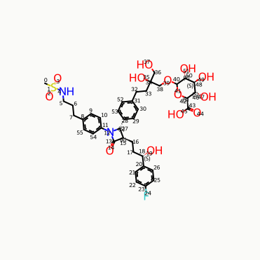 CS(=O)(=O)NCCCc1ccc(N2C(=O)[C@H](CC[C@H](O)c3ccc(F)cc3)[C@H]2c2ccc(CCC(O)(CO)COC3O[C@H](C(=O)O)[C@@H](O)[C@H](O)[C@H]3O)cc2)cc1